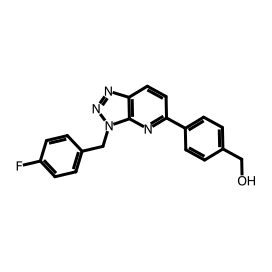 OCc1ccc(-c2ccc3nnn(Cc4ccc(F)cc4)c3n2)cc1